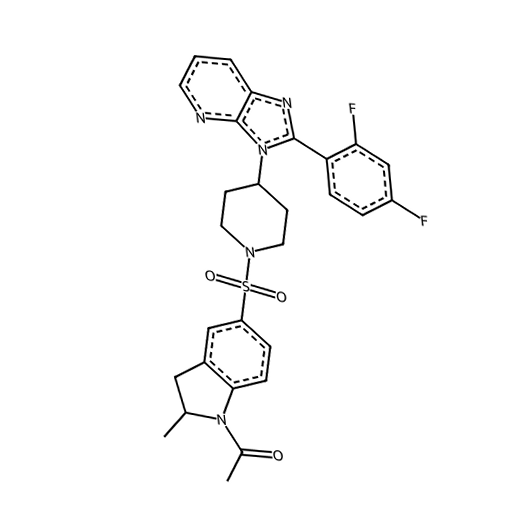 CC(=O)N1c2ccc(S(=O)(=O)N3CCC(n4c(-c5ccc(F)cc5F)nc5cccnc54)CC3)cc2CC1C